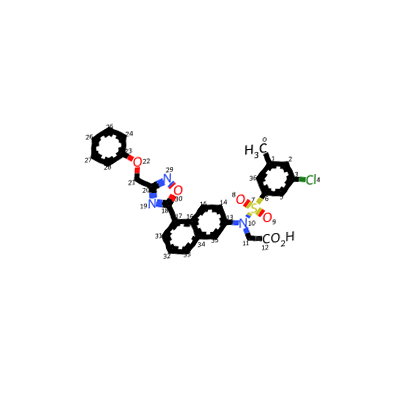 Cc1cc(Cl)cc(S(=O)(=O)N(CC(=O)O)c2ccc3c(-c4nc(COc5ccccc5)no4)cccc3c2)c1